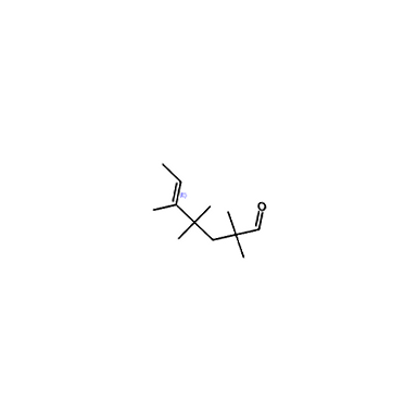 C/C=C(\C)C(C)(C)CC(C)(C)C=O